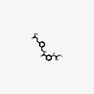 N=C(N)Nc1cccc(C(=O)NCc2cccc(CCC(=O)O)c2)c1